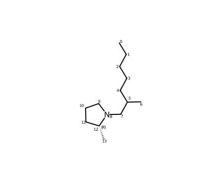 CCCCCC(C)CN1CCC[C@H]1C